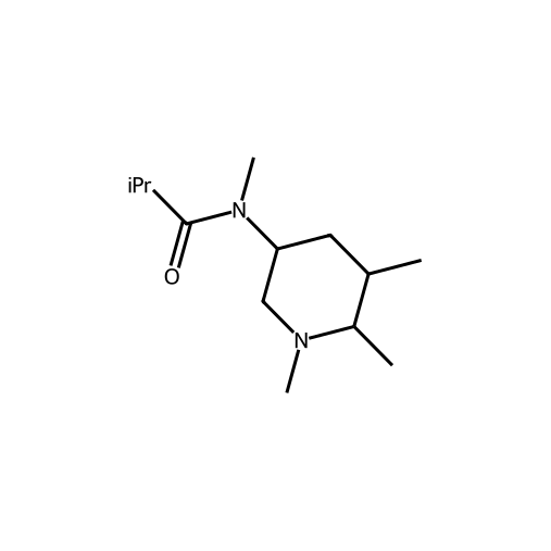 CC(C)C(=O)N(C)C1CC(C)C(C)N(C)C1